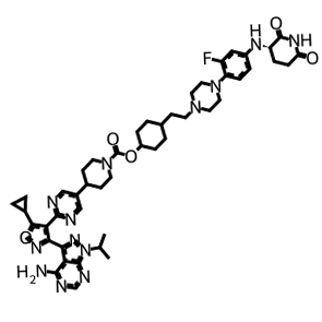 CC(C)n1nc(-c2noc(C3CC3)c2-c2ncc(C3CCN(C(=O)OC4CCC(CCN5CCN(c6ccc(N[C@H]7CCC(=O)NC7=O)cc6F)CC5)CC4)CC3)cn2)c2c(N)ncnc21